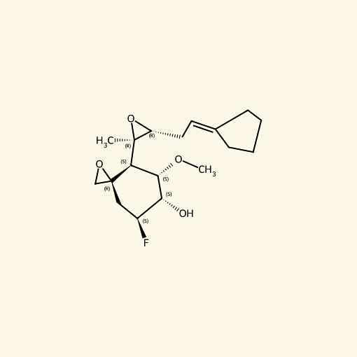 CO[C@@H]1[C@H](O)[C@@H](F)C[C@]2(CO2)[C@H]1[C@@]1(C)O[C@@H]1CC=C1CCCC1